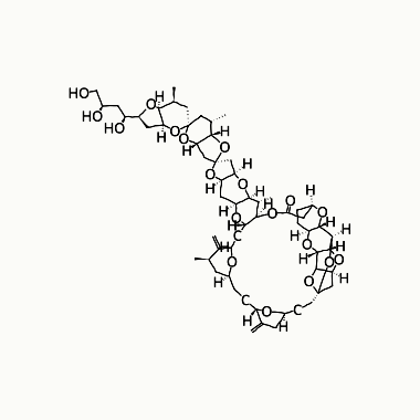 C=C1C[C@@H]2CC[C@@]34C[C@@H]5O[C@H]6[C@@H](O3)[C@H]3O[C@H](CC[C@@H]3O[C@H]6C5O4)CC(=O)O[C@@H]3[C@@H](C)[C@@H]4O[C@@H]5C[C@@]6(C[C@@H]7O[C@]8(C[C@H](C)[C@@H]9O[C@H]([C@@H](O)C[C@@H](O)CO)C[C@@H]9O8)C[C@H](C)[C@@H]7O6)O[C@@H]5C[C@@H]4O[C@H]3C[C@H]3O[C@@H](CC[C@@H]1O2)C[C@@H](C)C3=C